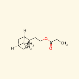 CCC(=O)OCCC1=CC[C@H]2C[C@@H]1C2(C)C